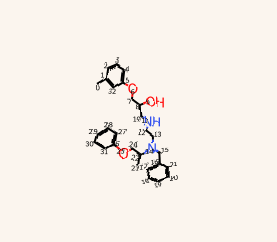 Cc1cccc(OCC(O)CNCCN(Cc2ccccc2)C(C)COc2ccccc2)c1